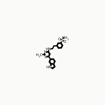 Cc1nc(NCCc2cccc(S(N)(=O)=O)c2)cc(-c2ccc3cc[nH]c3c2)n1